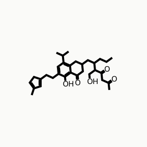 CCCC(CC1CC(=O)c2c(O)c(CCC3=CC(C)=CC3)cc(C(C)C)c2C1)C(CO)C(=O)CC(C)=O